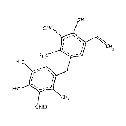 C=Cc1cc(Cc2cc(C)c(O)c(C=O)c2C)c(C)c(C=O)c1O